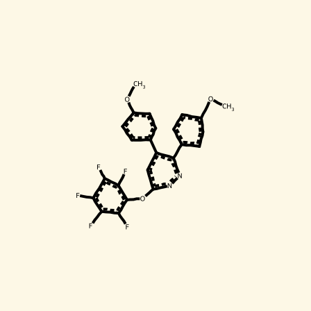 COc1ccc(-c2cc(Oc3c(F)c(F)c(F)c(F)c3F)nnc2-c2ccc(OC)cc2)cc1